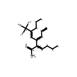 C=C/C=C(\C=C(/CCC)C(F)(F)F)C(=C\CCC)/C(N)=O